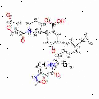 Cc1ncoc1C(=O)N[C@@H](C)[C@H](Oc1ccc(C(=O)O)c([C@@H]2CCCN(C(=O)[C@H]3COC(=O)C3)C2)c1)c1ccc(C2CC2)cc1